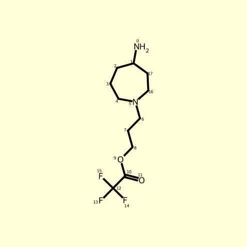 NC1CCCN(CCCOC(=O)C(F)(F)F)CC1